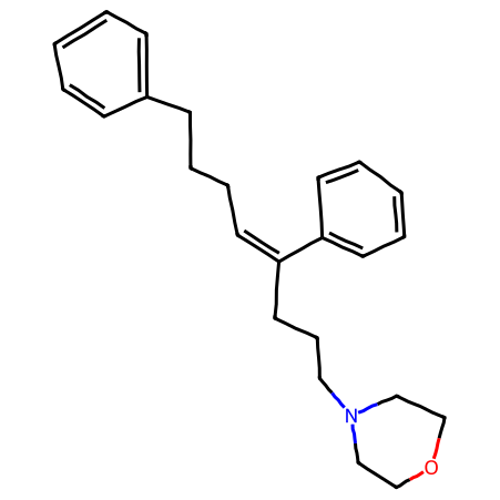 C(/CCCc1ccccc1)=C(\CCCN1CCOCC1)c1ccccc1